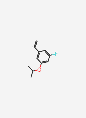 C=[C]c1cc(F)cc(OC(C)C)c1